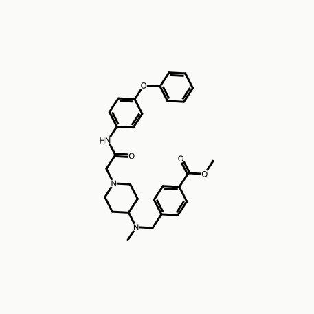 COC(=O)c1ccc(CN(C)C2CCN(CC(=O)Nc3ccc(Oc4ccccc4)cc3)CC2)cc1